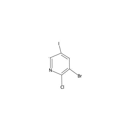 Clc1n[c]c(I)cc1Br